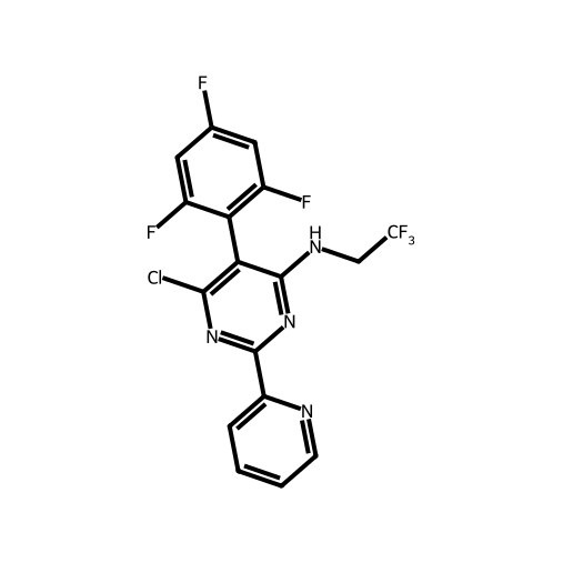 Fc1cc(F)c(-c2c(Cl)nc(-c3ccccn3)nc2NCC(F)(F)F)c(F)c1